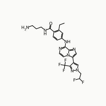 CCc1cc(Nc2nccn3c(-c4cn(CC(F)F)nc4C(F)(F)F)cnc23)ccc1C(=O)NCCCN